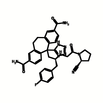 N#C[C@@H]1CCCN1C(=O)CN[C@@H](Cc1ccc(F)cc1)CC1(c2nnn[nH]2)c2ccc(C(N)=O)cc2CCc2cc(C(N)=O)ccc21